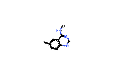 CCNC1=NCNc2ccc(C)cc21